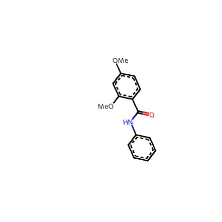 COc1ccc(C(=O)Nc2c[c]ccc2)c(OC)c1